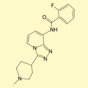 CN1CCC(c2nnc3c(NC(=O)c4ccccc4F)cccn23)CC1